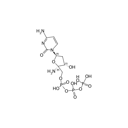 Nc1ccn([C@H]2C[C@H](O)[C@@](N)(COP(=O)(O)OP(=O)(O)OP(=O)(O)O)O2)c(=O)n1